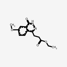 CCOC(=O)CCc1n[nH]c(=O)c2cc(OC)ccc12